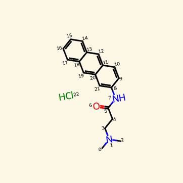 CN(C)CCC(=O)Nc1ccc2cc3ccccc3cc2c1.Cl